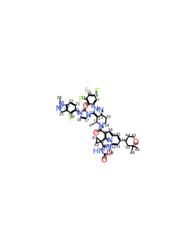 C[C@H]1c2c(nn(-c3cc(F)c(F)c(F)c3)c2-n2ccn(-c3ccc4c(cnn4C)c3F)c2=O)CCN1C(=O)c1cc2cc([C@@H]3CCOC(C)(C)C3)ccn2c1C1(c2noc(=O)[nH]2)CC1